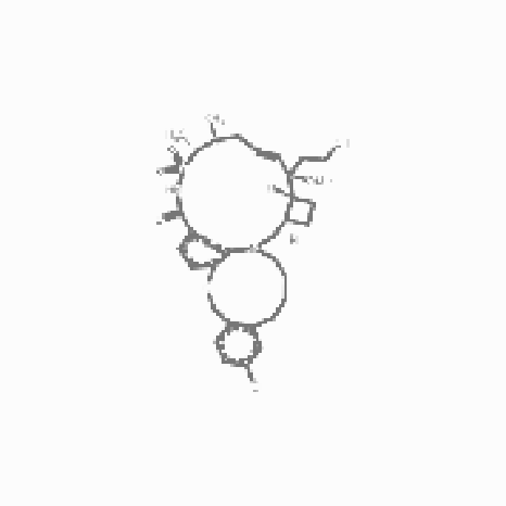 CO[C@]1(CCO)/C=C/C[C@H](C)[C@@H](C)S(=O)(=O)NC(=O)c2ccc3c(c2)N(CCCCc2cc(Cl)ccc2CO3)C[C@@H]2CC[C@H]21